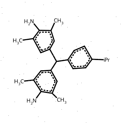 Cc1cc(C(c2ccc(C(C)C)cc2)c2cc(C)c(N)c(C)c2)cc(C)c1N